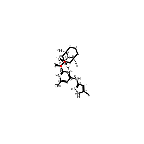 CCS(=O)(=O)N1[C@@H]2CCC[C@H]1CC(N(C)c1nc(Cl)cc(Nc3cc(C)[nH]n3)n1)C2